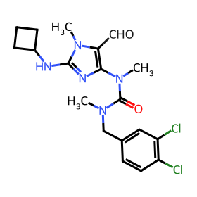 CN(Cc1ccc(Cl)c(Cl)c1)C(=O)N(C)c1nc(NC2CCC2)n(C)c1C=O